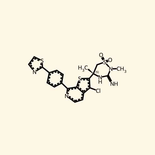 CN1C(=N)N[C@](C)(c2sc3c(-c4ccc(-c5nccs5)cc4)nccc3c2Cl)CS1(=O)=O